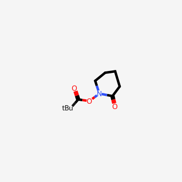 CC(C)(C)C(=O)ON1CCCCC1=O